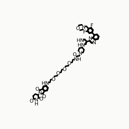 N=C/C(=C\NC1CCN(CC(=O)NCCOCCOCCOCCOCCNc2ccc3c(c2)C(=O)N(C2CCC(=O)NC2=O)C3=O)CC1)c1cnc2cccc(-c3cc(F)c(CN4CCOCC4)c(F)c3)c2n1